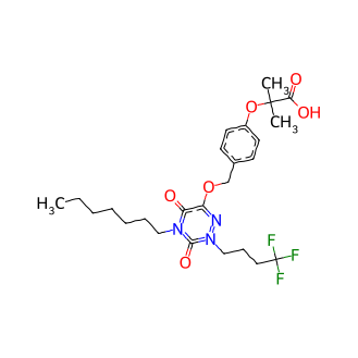 CCCCCCCn1c(=O)c(OCc2ccc(OC(C)(C)C(=O)O)cc2)nn(CCCC(F)(F)F)c1=O